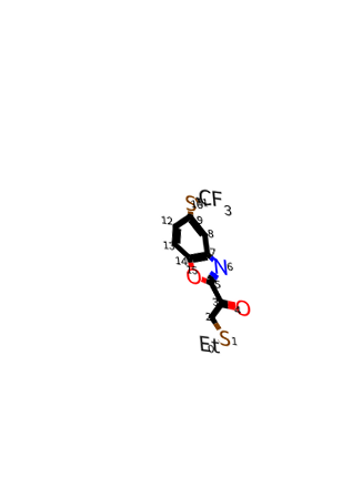 CCSCC(=O)c1nc2cc(SC(F)(F)F)ccc2o1